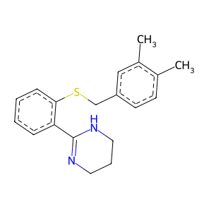 Cc1ccc(CSc2ccccc2C2=NCCCN2)cc1C